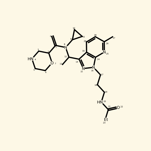 C=C(C1CNCCO1)N(C1CC1)C(C)c1nn(CCCNC(=O)CC)c2nc(C)ccc12